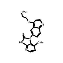 COCCOc1ccnc2ccc(-n3c(=O)[nH]c4nccc(OC)c43)cc12